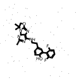 Cc1nc(NCCc2ccc(O)c(-c3c(F)cccc3F)c2)c2nc3n(c2n1)C(C)(C)CO3